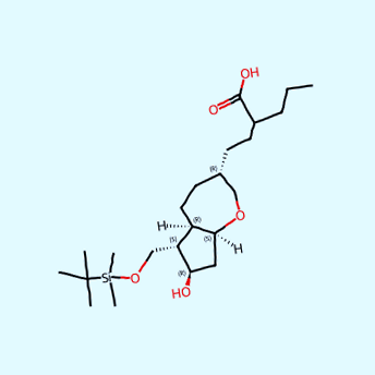 CCCC(CC[C@H]1CC[C@@H]2[C@@H](CO[Si](C)(C)C(C)(C)C)[C@H](O)C[C@@H]2OC1)C(=O)O